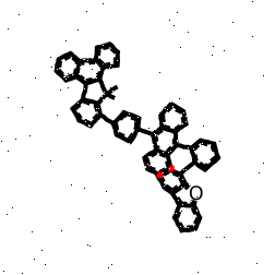 CC1(C)c2c(-c3ccc(-c4c5ccccc5c(-c5ccccc5-c5cccc6c5oc5ccccc56)c5ccccc45)cc3)cccc2-c2c1c1ccccc1c1ccccc21